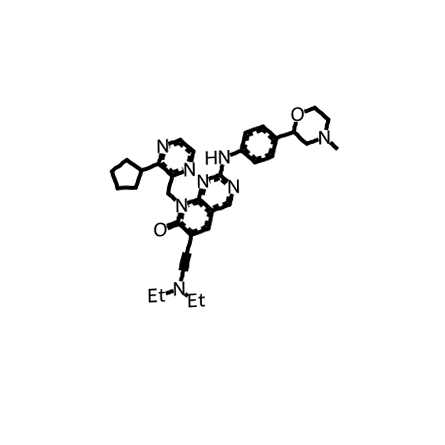 CCN(C#Cc1cc2cnc(Nc3ccc(C4CN(C)CCO4)cc3)nc2n(Cc2nccnc2C2CCCC2)c1=O)CC